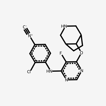 [C-]#[N+]c1ccc(Nc2ncnc(OC3C4CCC3CNC4)c2F)c(Cl)c1